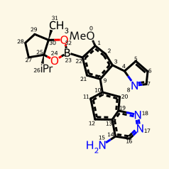 COc1cc(C2C=CC=N2)c(-c2ccc3c(N)cnnc3c2)cc1B1O[C@]2(C(C)C)CCC[C@]2(C)O1